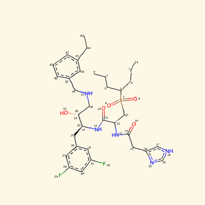 CCCC(CCC)S(=O)(=O)CC(NC(=O)Cc1c[nH]cn1)C(=O)N[C@@H](Cc1cc(F)cc(F)c1)[C@H](O)CNCc1cccc(CC)c1